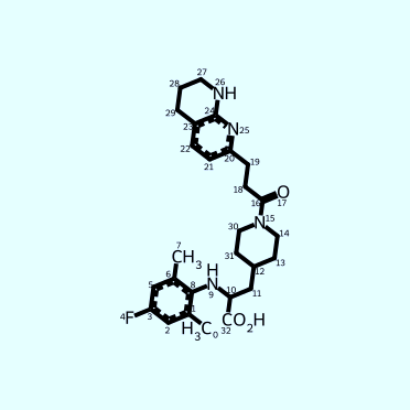 Cc1cc(F)cc(C)c1NC(CC1CCN(C(=O)CCc2ccc3c(n2)NCCC3)CC1)C(=O)O